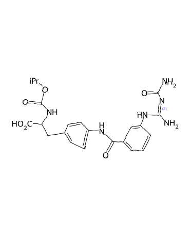 CC(C)OC(=O)NC(Cc1ccc(NC(=O)c2cccc(N/C(N)=N\C(N)=O)c2)cc1)C(=O)O